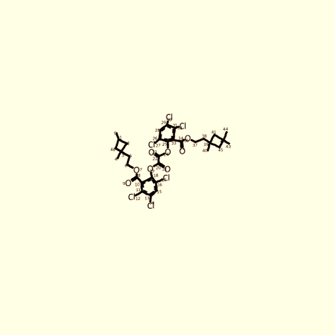 CC1CC(C)(CCOC(=O)c2c(Cl)c(Cl)cc(Cl)c2OC(=O)C(=O)Oc2c(Cl)cc(Cl)c(Cl)c2C(=O)OCCC2(C)CC(C)(C)C2)C1